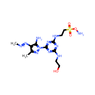 C/N=N/c1c(C)nn(-c2nc(NCCO)nc(NCCS(=O)(=O)ON)n2)c1N